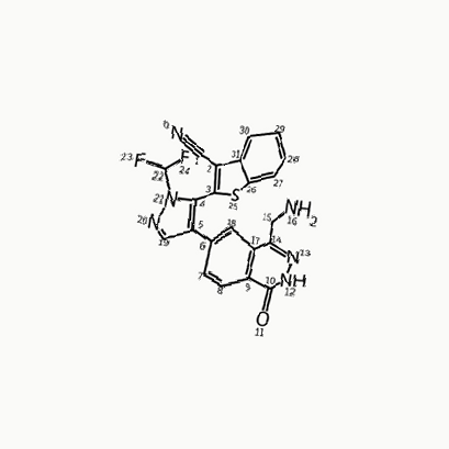 N#Cc1c(-c2c(-c3ccc4c(=O)[nH]nc(CN)c4c3)cnn2C(F)F)sc2ccccc12